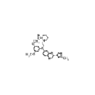 COc1cc(OC)cc(N(CCN2CCCCC2C)c2ccc3ncc(-c4cnn(C)c4)nc3c2)c1